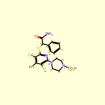 CCc1c(Cl)c(SC(C(N)=O)c2ccccc2)nc(N2CCN(C(=O)O)CC2)c1Cl